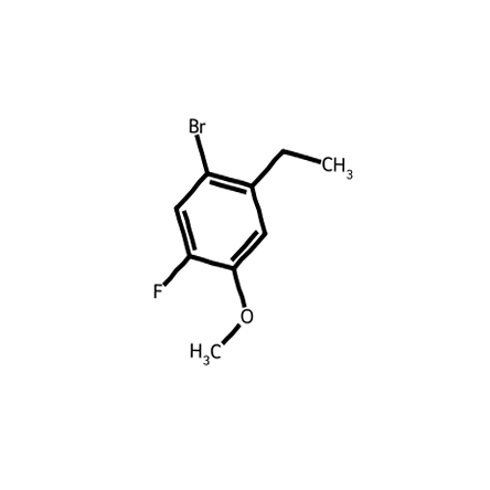 CCc1cc(OC)c(F)cc1Br